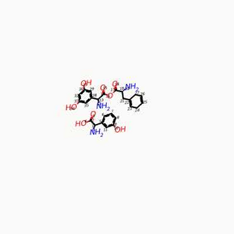 NC(C(=O)O)c1cccc(O)c1.NC(C(=O)OC(=O)[C@@H](N)CC1=CCC=CC1)c1cc(O)cc(O)c1